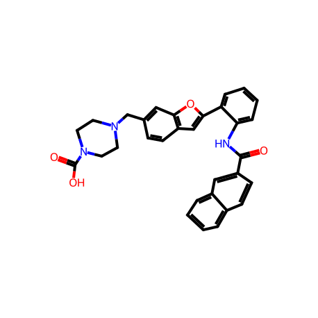 O=C(Nc1ccccc1-c1cc2ccc(CN3CCN(C(=O)O)CC3)cc2o1)c1ccc2ccccc2c1